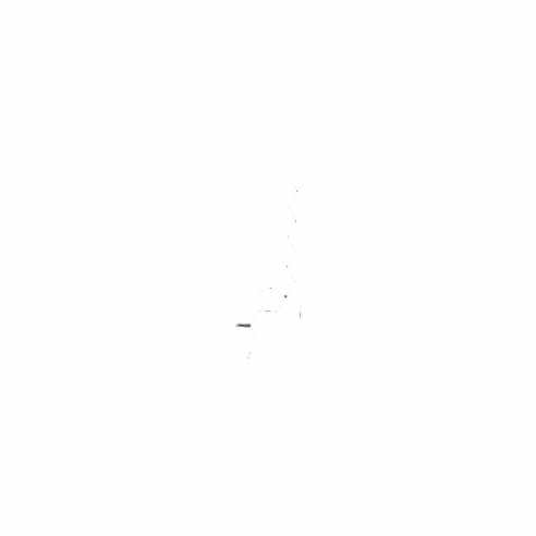 CCCCCCCCC(CC)(CC)CCC(=O)O[SiH3]